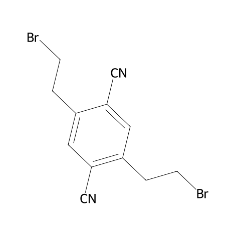 N#Cc1cc(CCBr)c(C#N)cc1CCBr